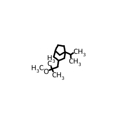 COC(C)(C)CC1CC2CCC(C(C)C)(C2)C1